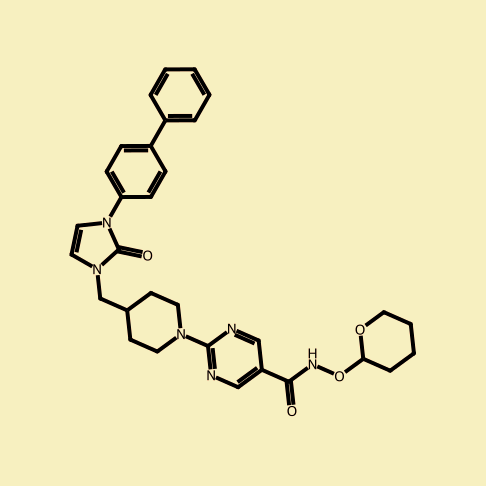 O=C(NOC1CCCCO1)c1cnc(N2CCC(Cn3ccn(-c4ccc(-c5ccccc5)cc4)c3=O)CC2)nc1